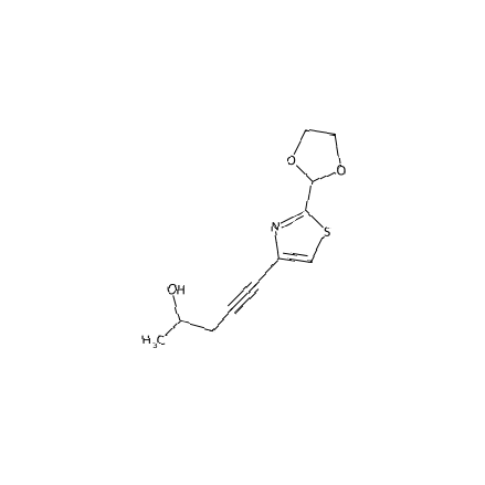 CC(O)CC#Cc1csc(C2OCCO2)n1